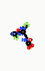 COc1cc(S(C)(=O)=O)ccc1NCC#Cc1cc(C(=O)N[C@@H]2CCN(C)C[C@H]2C(F)(F)F)c2ncn(CC(F)(F)F)c2c1